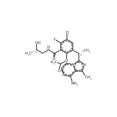 Cc1nc([C@@H](C)c2cc(Cl)c(F)c(C(=O)NC[C@H](C)O)c2OC(C)C)n2ccnc(N)c12